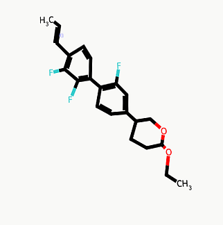 C/C=C/c1ccc(-c2ccc(C3CCC(OCC)OC3)cc2F)c(F)c1F